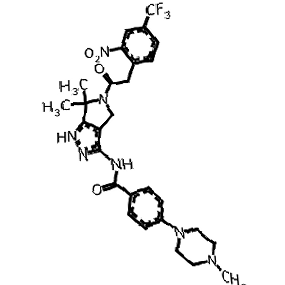 CN1CCN(c2ccc(C(=O)Nc3n[nH]c4c3CN(C(=O)Cc3ccc(C(F)(F)F)cc3[N+](=O)[O-])C4(C)C)cc2)CC1